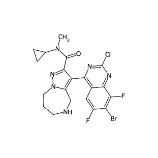 CN(C(=O)c1nn2c(c1-c1nc(Cl)nc3c(F)c(Br)c(F)cc13)CNCCC2)C1CC1